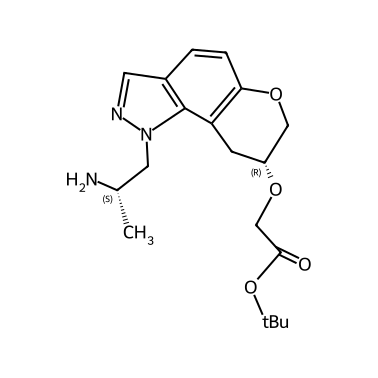 C[C@H](N)Cn1ncc2ccc3c(c21)C[C@@H](OCC(=O)OC(C)(C)C)CO3